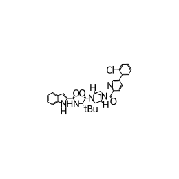 CC(C)(C)[C@H](NC(=O)c1cc2ccccc2[nH]1)C(=O)N1C[C@@H]2C[C@H]1CN2C(=O)c1ccc(-c2ccccc2Cl)cn1